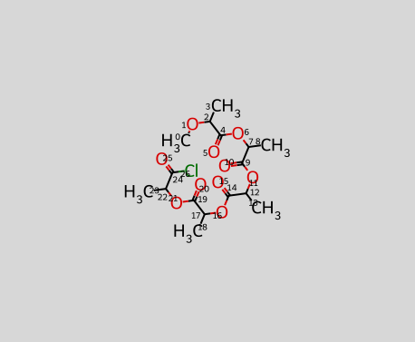 COC(C)C(=O)OC(C)C(=O)OC(C)C(=O)OC(C)C(=O)OC(C)C(=O)Cl